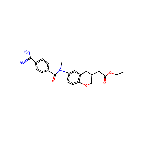 CCOC(=O)CC1COc2ccc(N(C)C(=O)c3ccc(C(=N)N)cc3)cc2C1